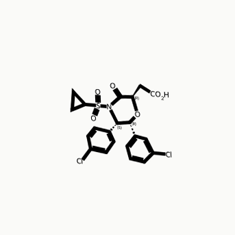 O=C(O)C[C@H]1O[C@H](c2cccc(Cl)c2)[C@H](c2ccc(Cl)cc2)N(S(=O)(=O)C2CC2)C1=O